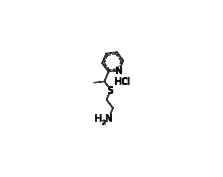 CC(SCCN)c1ccccn1.Cl